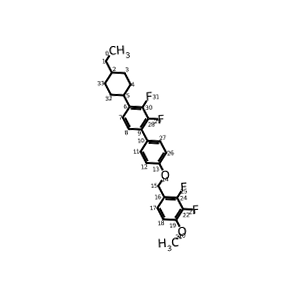 CCC1CCC(c2ccc(-c3ccc(OCc4ccc(OC)c(F)c4F)cc3)c(F)c2F)CC1